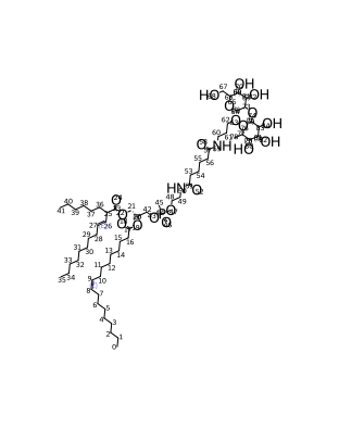 CCCCCCCC/C=C\CCCCCCCC(=O)O[C@H](COC(=O)C(/C=C/CCCCCCCC)CCCCCC)COP(C)(=O)OCCNC(=O)CCCCC(=O)NCCCO[C@@H]1OC(CO)[C@H](O)[C@H](O)C1O[C@@H]1OC(C)[C@@H](O)[C@H](O)C1O